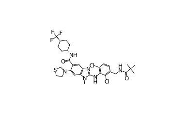 Cn1c(Nc2c(Cl)ccc(CNC(=O)C(C)(C)C)c2Cl)nc2cc(C(=O)N[C@H]3CC[C@H](C(F)(F)F)CC3)c(N3CCSC3)cc21